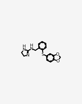 c1ccc(Sc2ccc3c(c2)OCO3)c(CNC2=NCCN2)c1